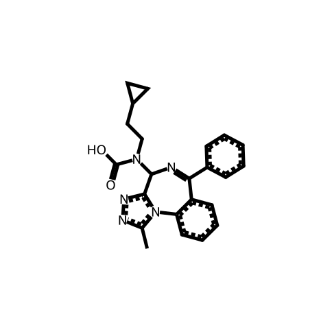 Cc1nnc2n1-c1ccccc1C(c1ccccc1)=NC2N(CCC1CC1)C(=O)O